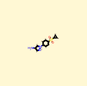 Nc1cnn(-c2ccc(S(=O)(=O)C3CC3)cc2)c1